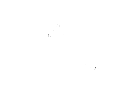 COC(=O)Cc1ccc(OC[C@@H](C)C[C@](N)(O)c2ccccc2)cc1